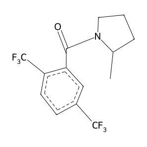 CC1CCCN1C(=O)c1cc(C(F)(F)F)ccc1C(F)(F)F